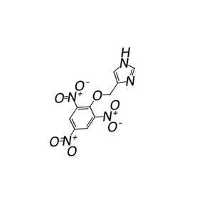 O=[N+]([O-])c1cc([N+](=O)[O-])c(OCc2c[nH]cn2)c([N+](=O)[O-])c1